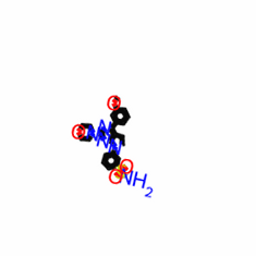 COc1cccc(-c2nc(N3CCOCC3)nc3c2CCN3c2cccc(S(N)(=O)=O)c2)c1